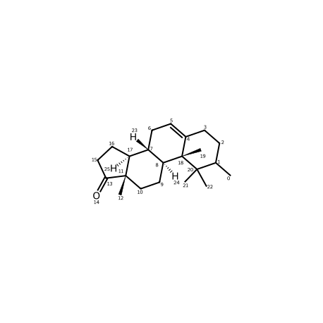 CC1CCC2=CC[C@@H]3[C@H](CC[C@]4(C)C(=O)CC[C@@H]34)[C@@]2(C)C1(C)C